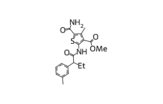 CCC(C(=O)Nc1sc(C(N)=O)c(C)c1C(=O)OC)c1cccc(C)c1